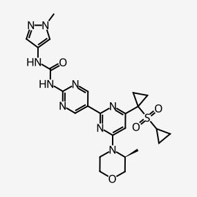 C[C@H]1COCCN1c1cc(C2(S(=O)(=O)C3CC3)CC2)nc(-c2cnc(NC(=O)Nc3cnn(C)c3)nc2)n1